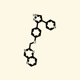 c1cnc2cnc(COc3ccc(-c4n[nH]cc4-c4ccncc4)cc3)nc2c1